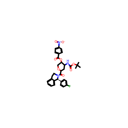 CC(C)(C)OC(=O)NC1CC(C(=O)N2CCc3ccccc3[C@@H]2c2ccc(F)cc2)OCC1OC(=O)c1ccc([N+](=O)[O-])cc1